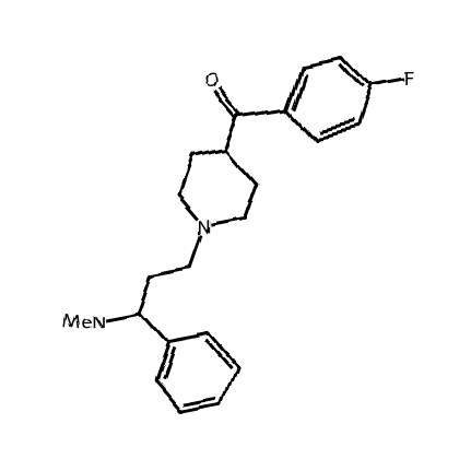 CNC(CCN1CCC(C(=O)c2ccc(F)cc2)CC1)c1ccccc1